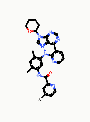 Cc1cc(C)c(Nc2ncccc2-c2ncnc3c2ncn3C2CCCCO2)cc1NC(=O)c1cc(C(F)(F)F)ccn1